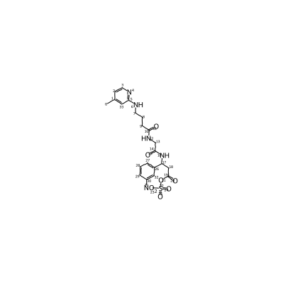 Cc1ccnc(NCCCC(=O)NCC(=O)NC(CC(=O)OS(C)(=O)=O)c2cccc([N+](=O)[O-])c2)c1